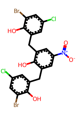 O=[N+]([O-])c1cc(Cc2cc(Cl)cc(Br)c2O)c(O)c(Cc2cc(Cl)cc(Br)c2O)c1